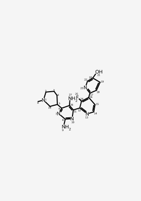 CN1CCCC(c2nc(N)nc(-c3nccc(-c4ccc(O)cn4)c3F)c2N)C1